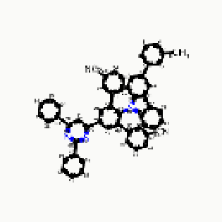 Cc1cccc(-c2ccc3c(c2)c2ccccc2n3-c2c(-c3cccc(C#N)c3)cc(-c3cc(-c4ccccc4)nc(-c4ccccc4)n3)cc2-c2cccc(C#N)c2)c1